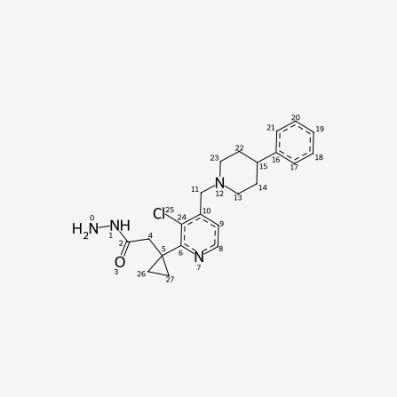 NNC(=O)CC1(c2nccc(CN3CCC(c4ccccc4)CC3)c2Cl)CC1